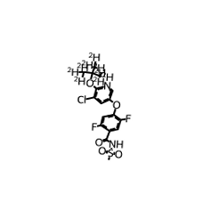 [2H]C([2H])([2H])C(Oc1ncc(Oc2cc(F)c(C(=O)NS(C)(=O)=O)cc2F)cc1Cl)(C([2H])([2H])[2H])C([2H])([2H])[2H]